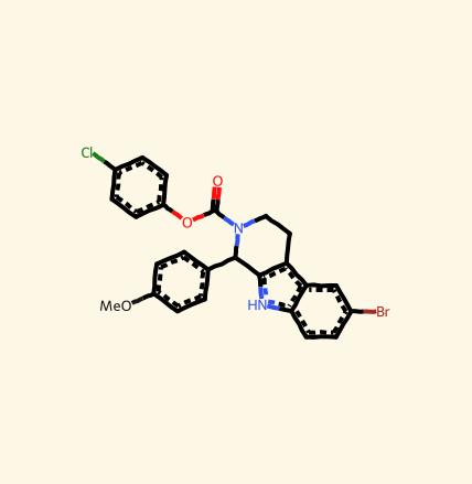 COc1ccc(C2c3[nH]c4ccc(Br)cc4c3CCN2C(=O)Oc2ccc(Cl)cc2)cc1